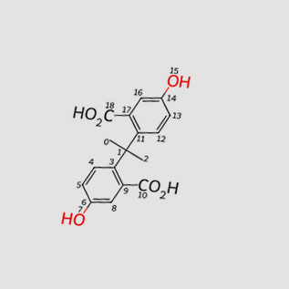 CC(C)(c1ccc(O)cc1C(=O)O)c1ccc(O)cc1C(=O)O